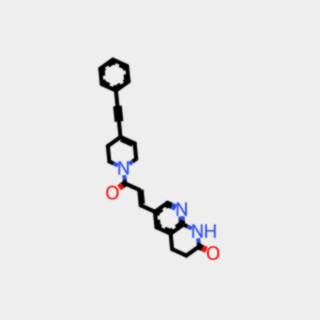 O=C1CCc2cc(C=CC(=O)N3CC=C(C#Cc4ccccc4)CC3)cnc2N1